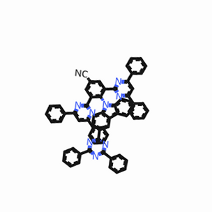 N#Cc1cc(-c2nc(-c3ccccc3)cc(-c3ccccc3)n2)c(-n2c3ccccc3c3cc(-c4nc(-c5ccccc5)nc(-c5ccccc5)n4)ccc32)c(-c2nc(-c3ccccc3)cc(-c3ccccc3)n2)c1